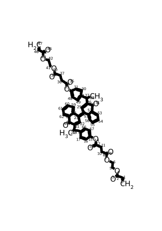 C=CC(=O)OCCOC(=O)CCC(=O)Oc1ccc(C(C)C2=C/C(=C3/C=C(C(C)c4ccc(OC(=O)CCC(=O)OCCOC(=O)C=C)cc4)C(=O)c4ccccc43)c3ccccc3C2=O)cc1